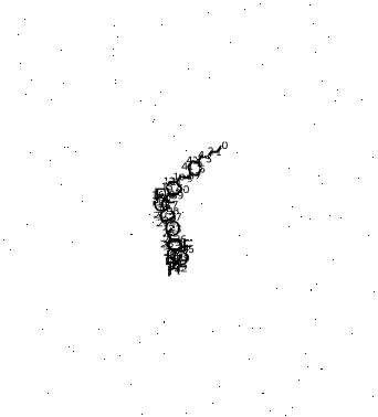 C=CCCCC1CCC(/C=C/C2CCC(C(F)(F)OC3CCC(OCc4ccc(OC(F)(F)F)c(F)c4)CC3)CC2)CC1